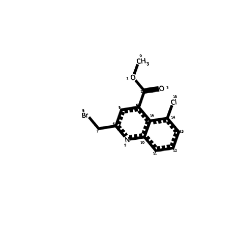 COC(=O)c1cc(CBr)nc2cccc(Cl)c12